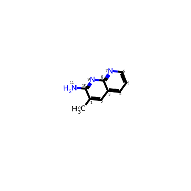 Cc1cc2cccnc2nc1N